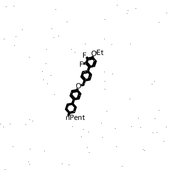 CCCCCC1CCC(c2ccc(OCc3ccc(-c4ccc(OCC)c(F)c4F)cc3)cc2)CC1